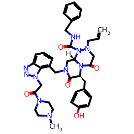 C=CCN1CC(=O)N2[C@@H](Cc3ccc(O)cc3)C(=O)N(Cc3cccc4nnn(CC(=O)N5CCN(C)CC5)c34)C[C@@H]2N1C(=O)NCc1ccccc1